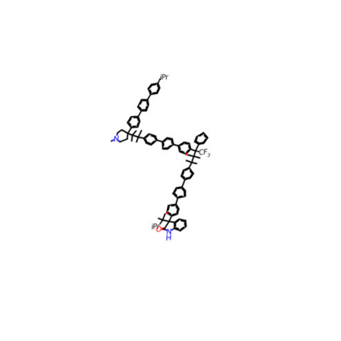 CC(C)c1ccc(-c2ccc(-c3ccc(C4(C(C)(C)C(C)(C)c5ccc(-c6ccc(-c7ccc(C(c8ccccc8)(C(F)(F)F)C(C)(C)C(C)(C)c8ccc(-c9ccc(-c%10ccc(C%11(C(C)(C)C(C)C)C(=O)Nc%12ccccc%12%11)cc%10)cc9)cc8)cc7)cc6)cc5)CCN(C)CC4)cc3)cc2)cc1